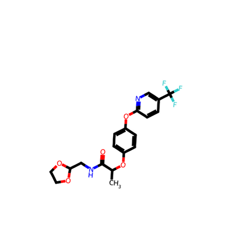 CC(Oc1ccc(Oc2ccc(C(F)(F)F)cn2)cc1)C(=O)NCC1OCCO1